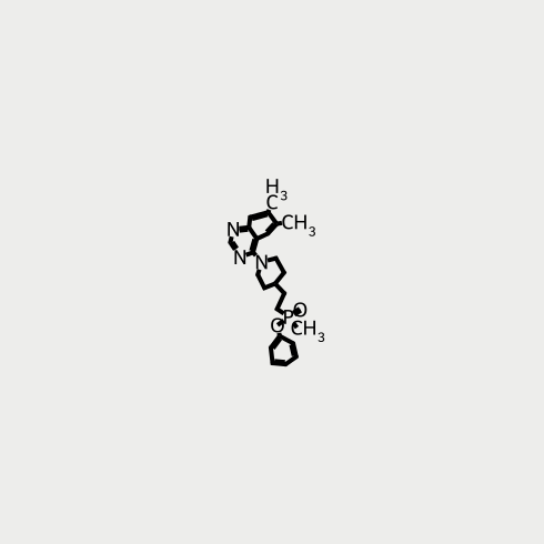 Cc1cc2ncnc(N3CCC(CCP(C)(=O)Oc4ccccc4)CC3)c2cc1C